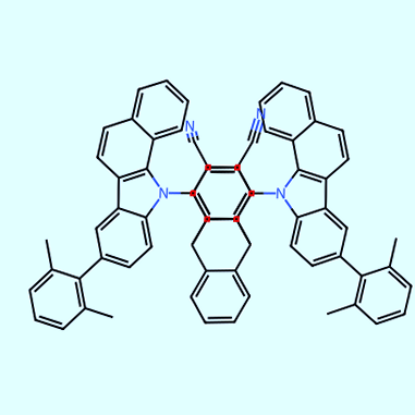 Cc1cccc(C)c1-c1ccc2c(c1)c1ccc3ccccc3c1n2-c1c(C#N)c(C#N)c(-n2c3ccc(-c4c(C)cccc4C)cc3c3ccc4ccccc4c32)c2c1C1c3ccccc3C2c2ccccc21